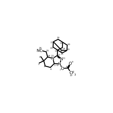 CC1(C)CCC2N(OC(=O)C(F)(F)F)N=C(C34CC5CC(CC(C5)C3)C4)N2C1CC#N